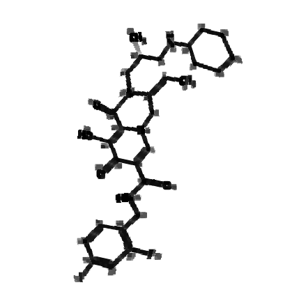 C/C=C1\Cn2cc(C(=O)NCc3ccc(F)cc3F)c(=O)c(O)c2C(=O)N1C[C@H](C)CNC1CCCCC1